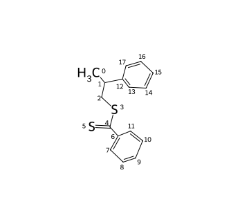 CC(CSC(=S)c1ccccc1)c1ccccc1